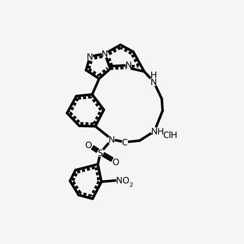 Cl.O=[N+]([O-])c1ccccc1S(=O)(=O)N1CCNCCNc2ccn3ncc(c3n2)-c2cccc1c2